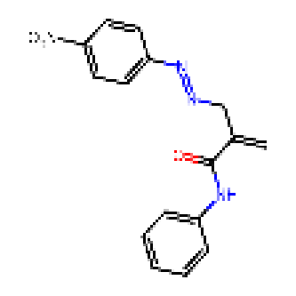 C=C(CN=Nc1ccc([N+](=O)[O-])cc1)C(=O)Nc1ccccc1